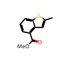 COC(=O)c1cccc2sc(C)cc12